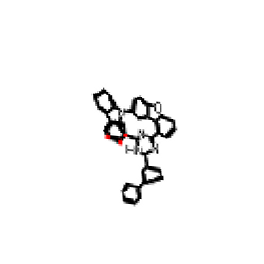 c1ccc(C2=NC(c3cccc4oc5ccc(-n6c7ccccc7c7ccccc76)cc5c34)=NC(c3cccc(-c4ccccc4)c3)N2)cc1